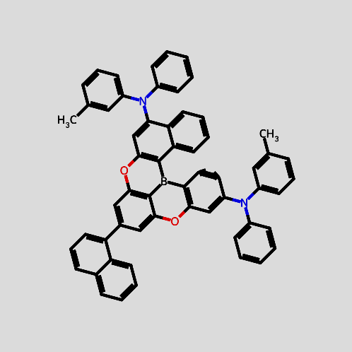 Cc1cccc(N(c2ccccc2)c2cc3c(c4ccccc24)B2c4c(cc(-c5cccc6ccccc56)cc4Oc4cc(N(c5ccccc5)c5cccc(C)c5)c5ccccc5c42)O3)c1